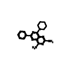 Nc1nc(N)c2nc(-c3ccccc3)nc(N3CCCCC3)c2n1